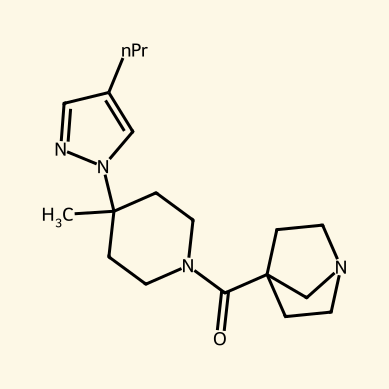 CCCc1cnn(C2(C)CCN(C(=O)C34CCN(CC3)C4)CC2)c1